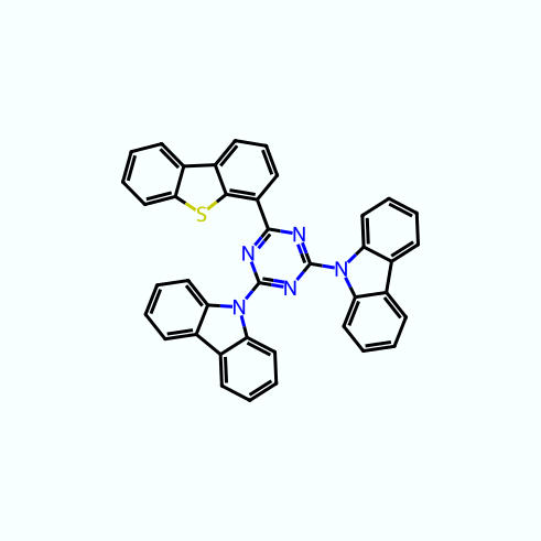 c1ccc2c(c1)sc1c(-c3nc(-n4c5ccccc5c5ccccc54)nc(-n4c5ccccc5c5ccccc54)n3)cccc12